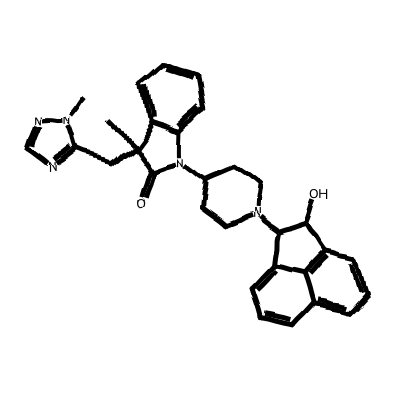 Cn1ncnc1CC1(C)C(=O)N(C2CCN(C3c4cccc5cccc(c45)C3O)CC2)c2ccccc21